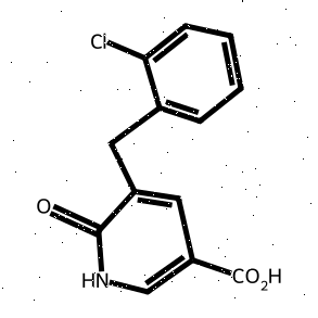 O=C(O)c1c[nH]c(=O)c(Cc2ccccc2Cl)c1